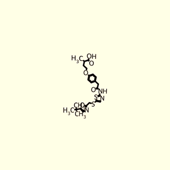 CC(CCOc1ccc(CC(=O)Nc2ncc(SCc3ncc(C(C)(C)C)o3)s2)cc1)C(=O)O